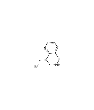 CC(C)CC1CNCc2cccnc21